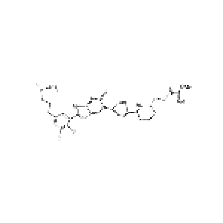 COC(=N)NCC[C@@H]1CCC[C@@H](c2ccc(-n3cc4cc(-c5cc(CCC[C@H](C)N)cc(Cl)c5F)[nH]c4nc3=O)cc2)N1